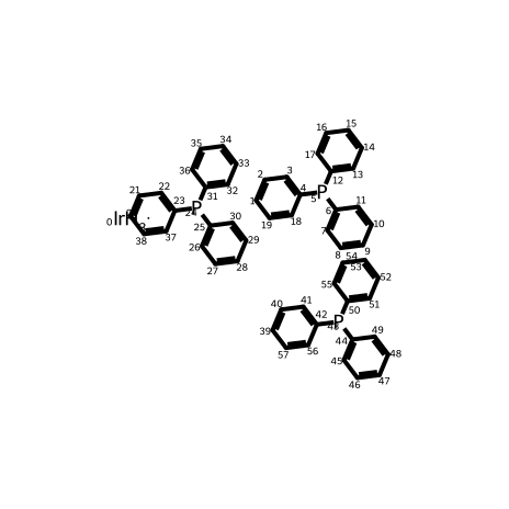 [IrH3].c1ccc(P(c2ccccc2)c2ccccc2)cc1.c1ccc(P(c2ccccc2)c2ccccc2)cc1.c1ccc(P(c2ccccc2)c2ccccc2)cc1